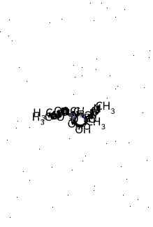 C/C(=C\c1cccc(S(=O)(=O)N2CCC(C)(C)C2)c1)[C@H]1OC(=O)C[C@H](O)CC[C@H](C)[C@@H](OC(=O)N2CCN(C)CC2)/C=C/[C@@H]1C